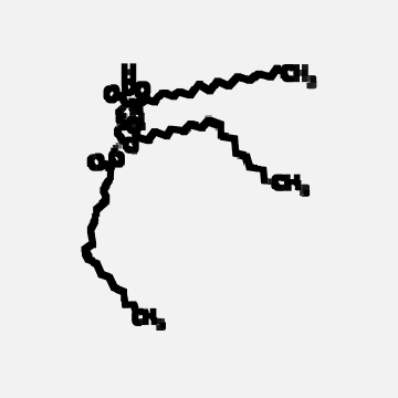 CCCCCCCC/C=C\CCCCCCCC(=O)OC[C@H](CSC[C@H](NC(=O)CCCCCCCCCCCCCCC)C(=O)O)OC(=O)CCCCCCC/C=C\CCCCCCCC